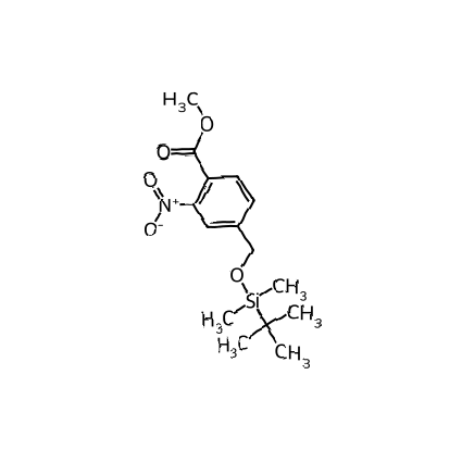 COC(=O)c1ccc(CO[Si](C)(C)C(C)(C)C)cc1[N+](=O)[O-]